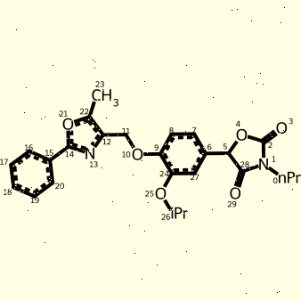 CCCN1C(=O)OC(c2ccc(OCc3nc(-c4ccccc4)oc3C)c(OC(C)C)c2)C1=O